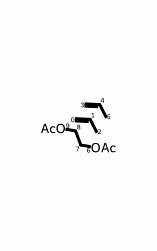 C=CC.C=CC.CC(=O)OCCOC(C)=O